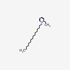 CCCCCCCCCCCCCCCCN1C=CC=CC1CC